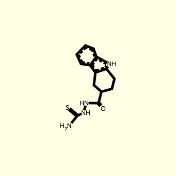 NC(=S)NNC(=O)C1CCc2[nH]c3ccccc3c2C1